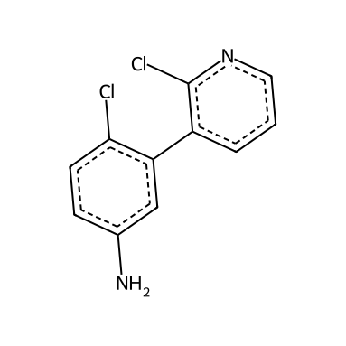 Nc1ccc(Cl)c(-c2cccnc2Cl)c1